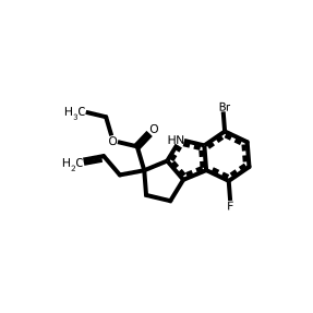 C=CCC1(C(=O)OCC)CCc2c1[nH]c1c(Br)ccc(F)c21